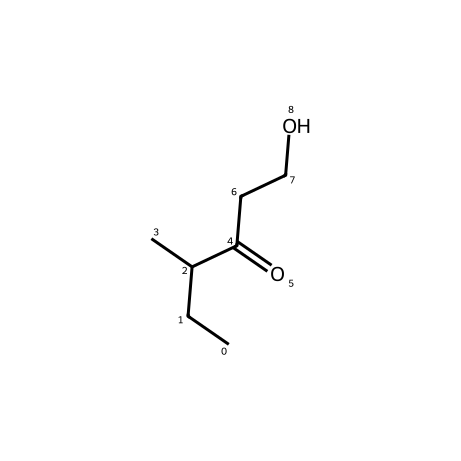 CCC(C)C(=O)CCO